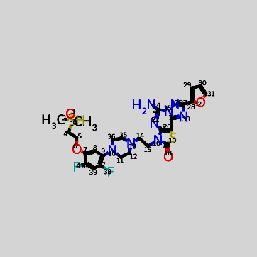 C[SH](C)(=O)CCOc1cc(N2CCN(CCn3c(=O)sc4c3nc(N)n3nc(-c5ccco5)nc43)CC2)c(F)cc1F